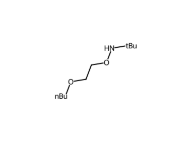 CCCCOCCONC(C)(C)C